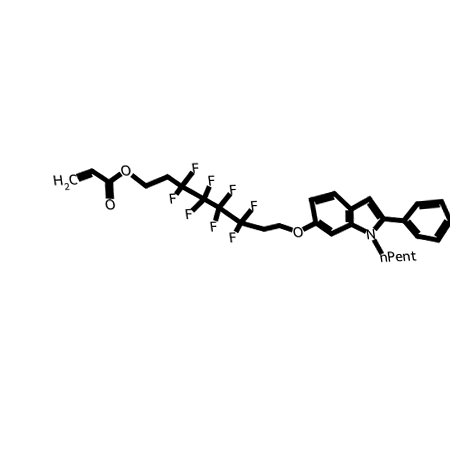 C=CC(=O)OCCC(F)(F)C(F)(F)C(F)(F)C(F)(F)CCOc1ccc2cc(-c3ccccc3)n(CCCCC)c2c1